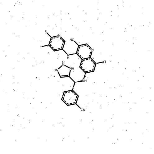 N#Cc1cccc([C@H](Nc2cc(Cl)c3ncc(C#N)c(Nc4cnc(F)c(F)c4)c3c2)C2=CNNN2)c1